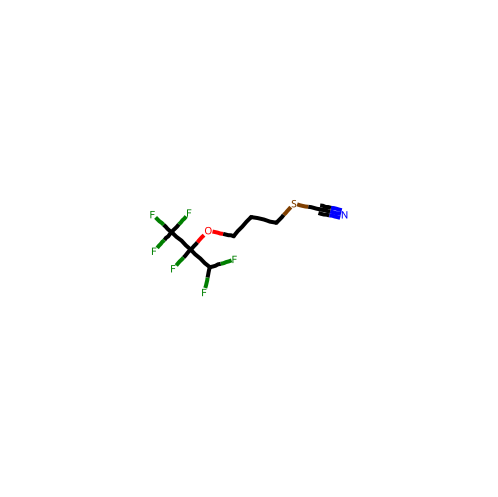 N#CSCCCOC(F)(C(F)F)C(F)(F)F